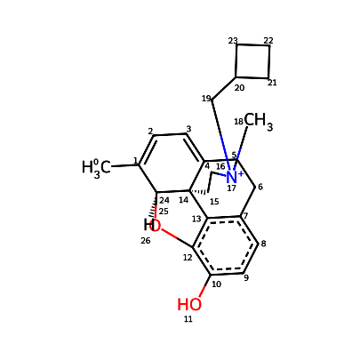 CC1=CC=C2C3Cc4ccc(O)c5c4[C@@]2(CC[N+]3(C)CC2CCC2)[C@H]1O5